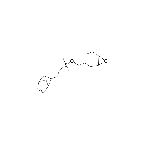 C[Si](C)(CCC1CC2C=CC1C2)OCC1CCC2OC2C1